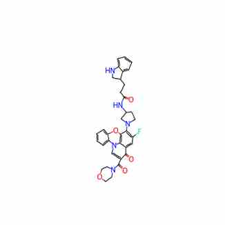 O=C(CCC1CNc2ccccc21)NC1CCN(c2c(F)cc3c(=O)c(C(=O)N4CCOCC4)cn4c3c2Oc2ccccc2-4)C1